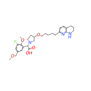 COCc1cc(F)c(OC)c(C(C(=O)O)N2CC[C@@H](OCCCCCc3ccc4c(n3)NCCC4)C2)c1